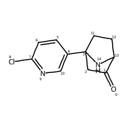 O=C1CC2(c3ccc(Cl)nc3)CCC1N2